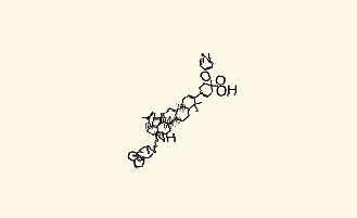 C=C(C)[C@@H]1CC[C@]2(NCCN3CCS(=O)(=O)CC3)CC[C@]3(C)[C@H](CCC4[C@@]5(C)CC=C(C6=CCC(COc7ccncc7)(C(=O)O)CC6)C(C)(C)C5CC[C@]43C)C12